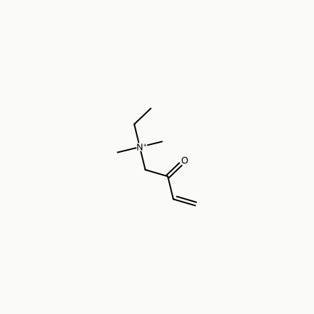 C=CC(=O)C[N+](C)(C)CC